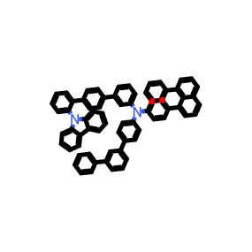 c1ccc(-c2cccc(-c3ccc(N(c4ccc(-c5cccc6cccc(-c7ccccc7)c56)cc4)c4cccc(-c5ccc(-c6ccccc6-n6c7ccccc7c7ccccc76)cc5)c4)cc3)c2)cc1